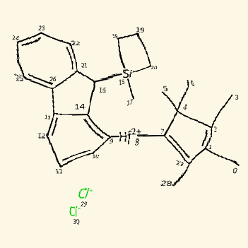 CC1=C(C)C(C)(C)[C]([Hf+2][c]2cccc3c2C([Si]2(C)CCC2)c2ccccc2-3)=C1C.[Cl-].[Cl-]